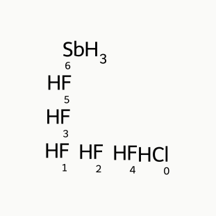 Cl.F.F.F.F.F.[SbH3]